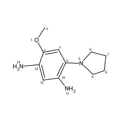 COc1cc(N2CCCC2)c(N)cc1N